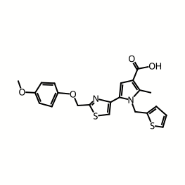 COc1ccc(OCc2nc(-c3cc(C(=O)O)c(C)n3Cc3cccs3)cs2)cc1